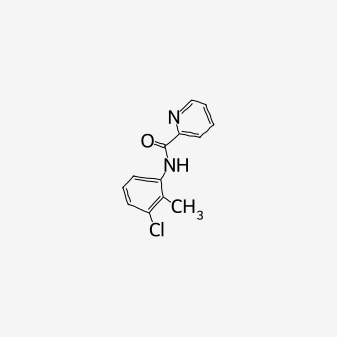 Cc1c(Cl)cccc1NC(=O)c1ccccn1